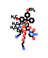 COc1ccc(C(OCC2OC(n3ccc(=O)[nH]c3=O)C(OCOCOCCC#N)C2OP(OCCC#N)N(C(C)C)C(C)C)(c2ccccc2)c2ccc(OC)cc2)cc1